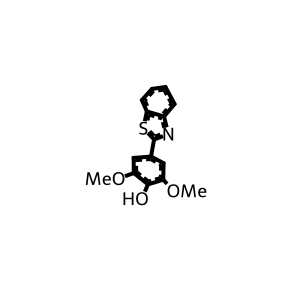 COc1cc(-c2nc3ccccc3s2)cc(OC)c1O